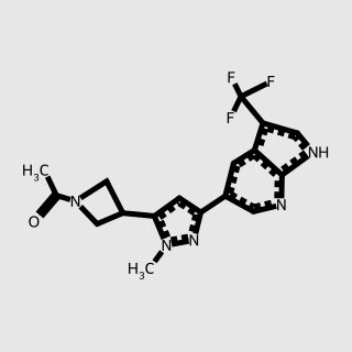 CC(=O)N1CC(c2cc(-c3cnc4[nH]cc(C(F)(F)F)c4c3)nn2C)C1